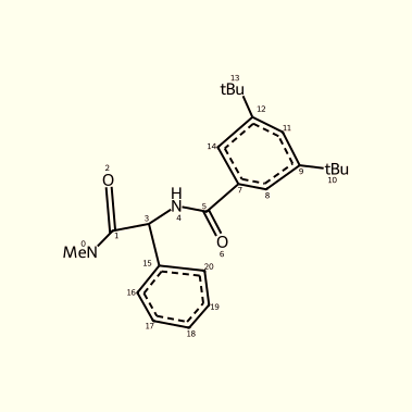 CNC(=O)C(NC(=O)c1cc(C(C)(C)C)cc(C(C)(C)C)c1)c1ccccc1